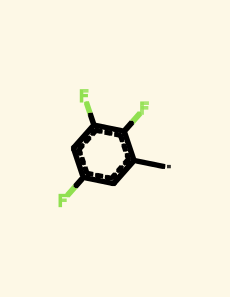 [CH2]c1cc(F)cc(F)c1F